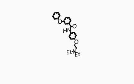 CCN(CC)CCOc1ccc(NC(=O)c2cccc(Oc3ccccc3)c2)cc1